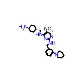 N[C@H]1CC[C@H](CNc2nc(NCc3cccc(N4CCCCC4)c3)ncc2[N+](=O)[O-])CC1